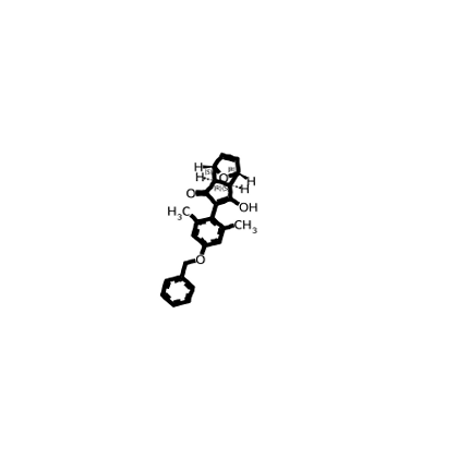 Cc1cc(OCc2ccccc2)cc(C)c1C1=C(O)[C@H]2[C@@H](C1=O)[C@@H]1C=C[C@H]2O1